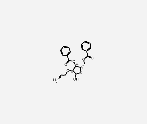 C=CCO[C@@H]1C(O)S[C@@H](COC(=O)c2ccccc2)[C@@H]1OC(=O)c1ccccc1